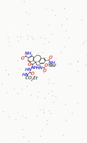 CCOC(=O)NC(=O)NNC(=O)C1(CCNC(=O)OC(C)(C)C)c2ccc(C(N)=O)cc2CCc2cc(C(N)=O)ccc21